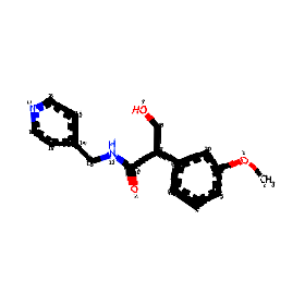 COc1cccc(C(CO)C(=O)NCc2ccncc2)c1